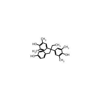 CCC(Cc1ccc(O)cc1)(c1cc(C)c(O)c(C)c1)c1cc(C)c(O)c(C)c1